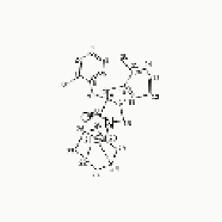 Cc1ccccc1CC1(Cc2ccccc2C)CCN(C23CC4CC(CC(C4)C2)C3)C1=O